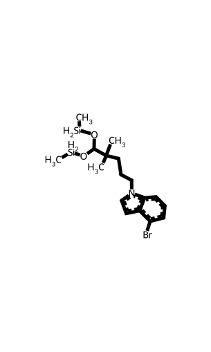 C[SiH2]OC(O[SiH2]C)C(C)(C)CCCn1ccc2c(Br)cccc21